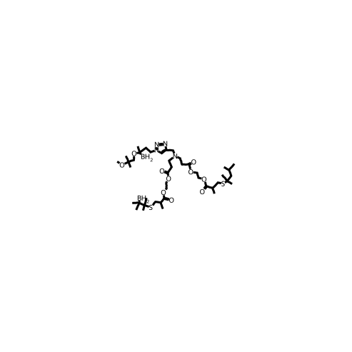 BC(C)(CCn1cc(CN(CCC(=O)OCCOC(=O)C(C)CSC(C)(C)CC(C)C)CCC(=O)OCCOC(=O)C(C)CSC(C)(C)C(B)(C)C)nn1)OCC(C)(C)OC